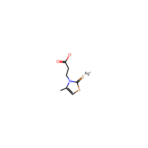 Cc1csc(=S)n1CCC(=O)[O-].[Ag+]